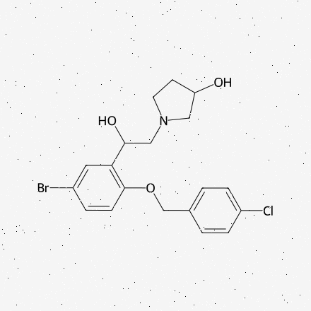 OC1CCN(CC(O)c2cc(Br)ccc2OCc2ccc(Cl)cc2)C1